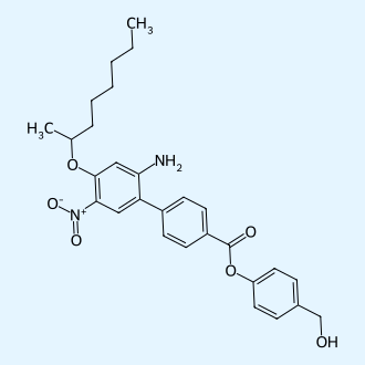 CCCCCCC(C)Oc1cc(N)c(-c2ccc(C(=O)Oc3ccc(CO)cc3)cc2)cc1[N+](=O)[O-]